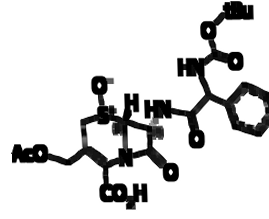 CC(=O)OCC1=C(C(=O)O)N2C(=O)[C@@H](NC(=O)C(NC(=O)OC(C)(C)C)c3ccccc3)[C@H]2[S+]([O-])C1